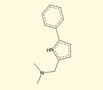 CN(C)Cc1ccc(-c2ccccc2)[nH]1